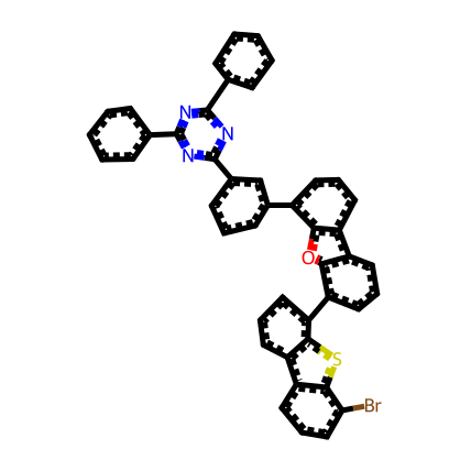 Brc1cccc2c1sc1c(-c3cccc4c3oc3c(-c5cccc(-c6nc(-c7ccccc7)nc(-c7ccccc7)n6)c5)cccc34)cccc12